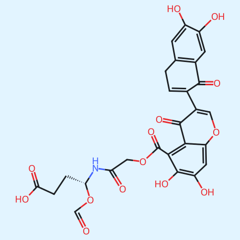 O=CO[C@H](CCC(=O)O)NC(=O)COC(=O)c1c(O)c(O)cc2occ(C3=CCc4cc(O)c(O)cc4C3=O)c(=O)c12